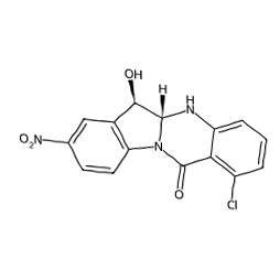 O=C1c2c(Cl)cccc2N[C@H]2[C@H](O)c3cc([N+](=O)[O-])ccc3N12